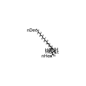 CCCCCCCCCCCCCCCCCCCCCCCC(O)NC(CC)C(O)C(C)CCCCCC